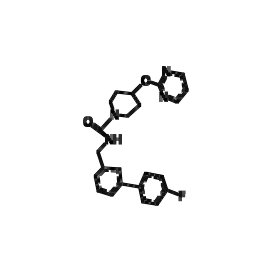 O=C(NCc1cccc(-c2ccc(F)cc2)c1)N1CCC(Oc2ncccn2)CC1